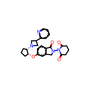 O=C1c2ccc(O[C@@H]3CCC[C@@H]3N3CC(c4ccccn4)C3)cc2CN1N1C(=O)CCCC1=O